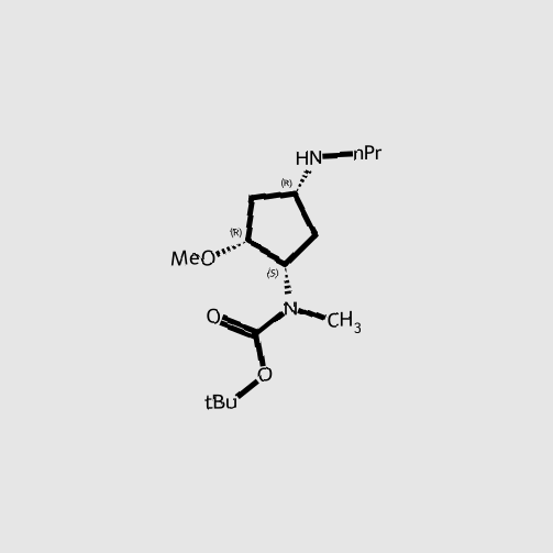 CCCN[C@H]1C[C@@H](OC)[C@@H](N(C)C(=O)OC(C)(C)C)C1